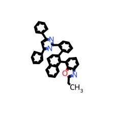 CCc1nc2cccc(-c3c(-c4ccccc4-c4nc(-c5ccccc5)cc(-c5ccccc5)n4)ccc4ccccc34)c2o1